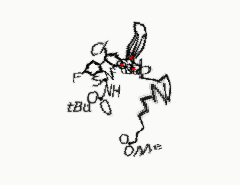 COC(=O)CCCCCCN1CCCC1COc1nc(N2C3CCC2CN(C(=O)OC(C)(C)C)C3)c2cc(Cl)c(-c3ccc(F)c4sc(NC(=O)OC(C)(C)C)nc34)c(F)c2n1